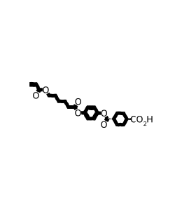 C=CC(=O)OCCCCCC(=O)Oc1ccc(OC(=O)[C@H]2CC[C@H](C(=O)O)CC2)cc1